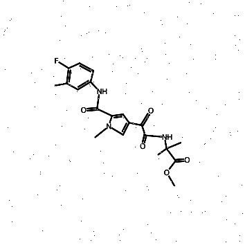 COC(=O)C(C)(C)NC(=O)C(=O)c1cc(C(=O)Nc2ccc(F)c(C)c2)n(C)c1